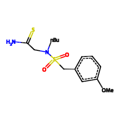 CCCCN(CC(N)=S)S(=O)(=O)Cc1cccc(OC)c1